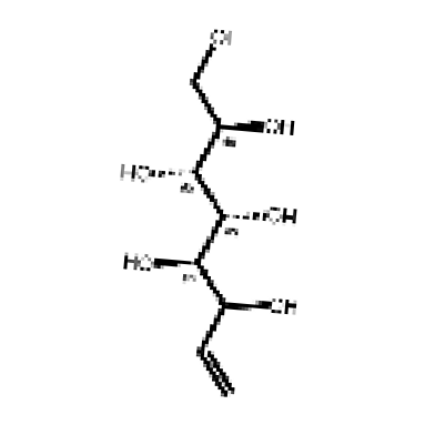 C=CC(O)[C@@H](O)[C@@H](O)[C@H](O)[C@H](O)CO